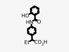 CCC(C(=O)O)c1ccc(NC(=O)c2ccccc2O)cc1